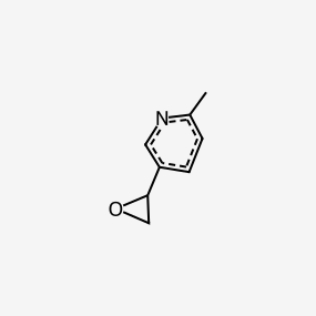 Cc1ccc(C2CO2)cn1